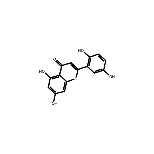 O=c1cc(-c2cc(O)ccc2O)oc2cc(O)cc(O)c12